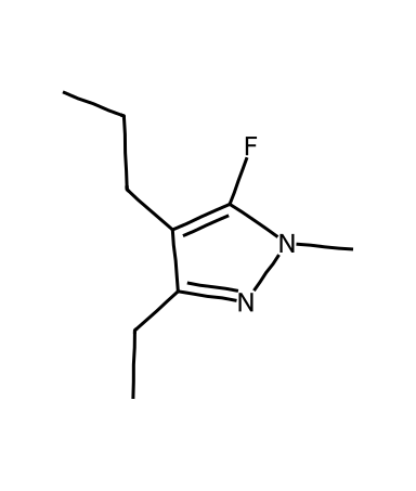 CCCc1c(CC)nn(C)c1F